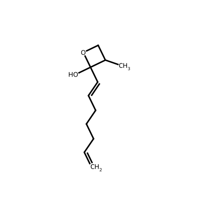 C=CCCCC=CC1(O)OCC1C